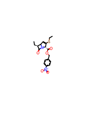 CCSC1=CC2[C@H](CC)C(=O)N2[C@H]1C(=O)OCc1ccc([N+](=O)[O-])cc1